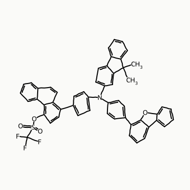 CC1(C)c2ccccc2-c2ccc(N(c3ccc(-c4ccc(OS(=O)(=O)C(F)(F)F)c5c4ccc4ccccc45)cc3)c3ccc(-c4cccc5c4oc4ccccc45)cc3)cc21